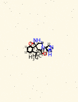 CC(=O)C1CC(C(N)=O)(c2ccccc2C(C)C)CCN1c1cn[nH]c1